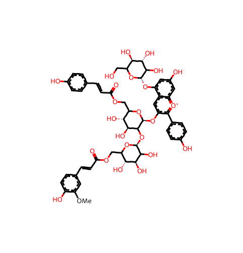 COc1cc(/C=C/C(=O)OCC2O[C@@H](OC3[C@H](Oc4cc5c(O[C@@H]6OC(CO)[C@@H](O)[C@H](O)C6O)cc(O)cc5[o+]c4-c4ccc(O)cc4)OC(COC(=O)/C=C/c4ccc(O)cc4)[C@@H](O)[C@@H]3O)C(O)[C@@H](O)[C@@H]2O)ccc1O